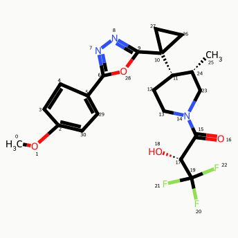 COc1ccc(-c2nnc(C3([C@H]4CCN(C(=O)[C@@H](O)C(F)(F)F)C[C@H]4C)CC3)o2)cc1